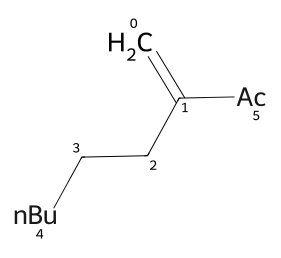 C=C(CCCCCC)C(C)=O